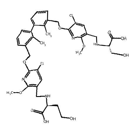 COc1nc(OCc2cccc(-c3cccc(COc4nc(OC)c(CN[C@@H](CCO)C(=O)O)cc4Cl)c3C)c2C)c(Cl)cc1CN[C@@H](CO)C(=O)O